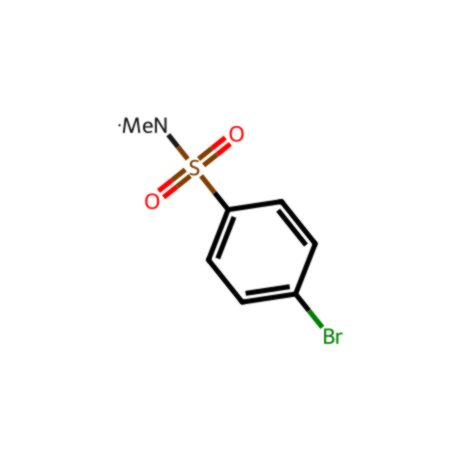 C[N]S(=O)(=O)c1ccc(Br)cc1